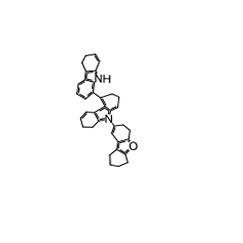 C1=Cc2[nH]c3c(C4=c5c6c(n(C7=Cc8c(oc9c8CCCC9)CC7)c5=CCC4)CCC=C6)cccc3c2CC1